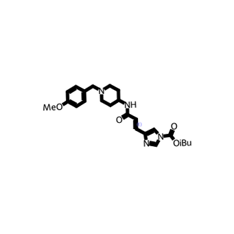 COc1ccc(CN2CCC(NC(=O)/C=C/c3cn(C(=O)OCC(C)C)cn3)CC2)cc1